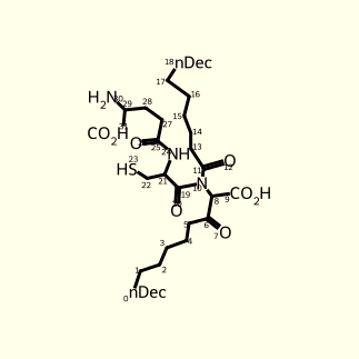 CCCCCCCCCCCCCCCC(=O)C(C(=O)O)N(C(=O)CCCCCCCCCCCCCCC)C(=O)C(CS)NC(=O)CCC(N)C(=O)O